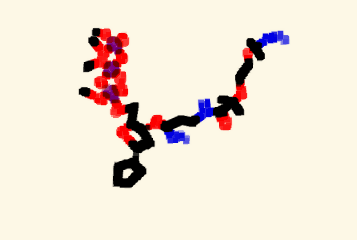 COP(=O)(OC)OP(=O)(OC)OP(=O)(OC)OCC1O[C@@H](C2CCCC2)C[C@H]1OC(N)CCNC(=O)C(C)(C)OCCOC(C)(C)N